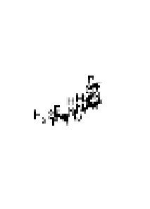 CC(F)(F)C1CC1NC(=O)NCc1ccnc(OC(F)F)c1